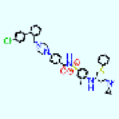 Cc1cc(S(=O)(=O)NC(=O)c2ccc(N3CCN(Cc4ccccc4-c4ccc(Cl)cc4)CC3)cc2)ccc1N[C@H](CCN(C)C1CC1)CSc1ccccc1